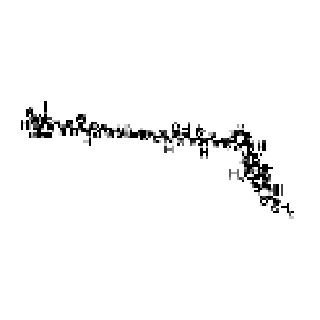 C=CC(=O)Nc1cccc(Nc2nc(Nc3cccc(OCCCNC(=O)CCCC(O)NCCCOCCOCCOCCCNC(=O)CCCC[C@H]4SC[C@H]5NC(=O)N[C@H]54)c3)ncc2C)c1